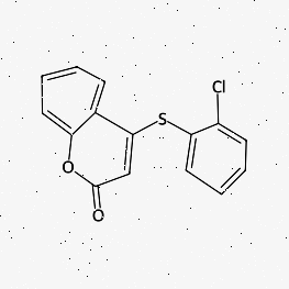 O=c1cc(Sc2ccccc2Cl)c2ccccc2o1